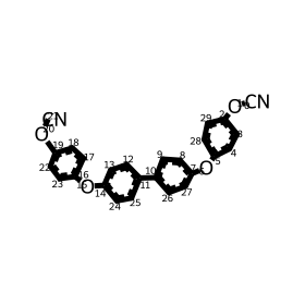 N#COc1ccc(Oc2ccc(-c3ccc(Oc4ccc(OC#N)cc4)cc3)cc2)cc1